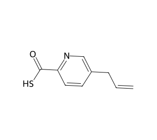 C=CCc1ccc(C(=O)S)nc1